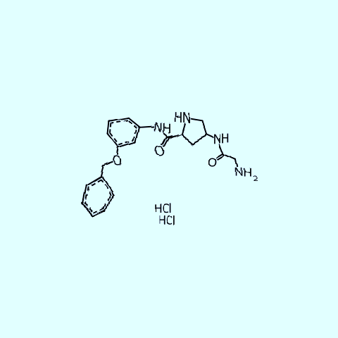 Cl.Cl.NCC(=O)NC1CN[C@H](C(=O)Nc2cccc(OCc3ccccc3)c2)C1